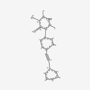 Cc1[nH]c(C)c(-c2ccc(C#Cc3ccccc3)nc2)c(=O)c1Cl